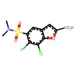 CN(C)S(=O)(=O)c1cc2cc(C(=O)O)oc2c(Cl)c1Cl